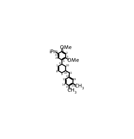 COc1cc(OC)c(C2C=CCC(Cc3ccc(C)c(C)c3)C2)cc1C(C)C